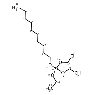 CCCCCCCCCCO[Si](OCC)(OCC)OCC